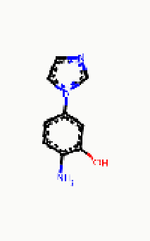 Nc1ccc(-n2ccnc2)cc1O